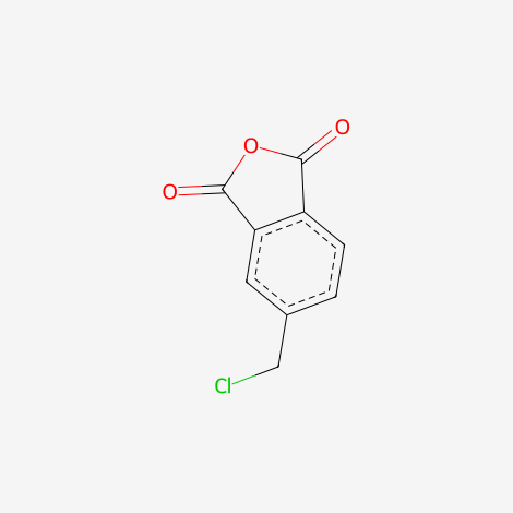 O=C1OC(=O)c2cc(CCl)ccc21